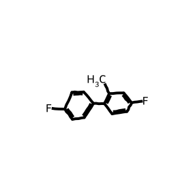 Cc1cc(F)ccc1-c1ccc(F)cc1